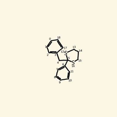 c1ccc(CC2(c3ccccc3)SCCCS2)cc1